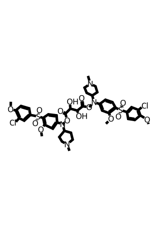 COc1ccc(S(=O)(=O)c2ccc(N(OC(=O)C(O)C(O)C(=O)ON(c3ccc(S(=O)(=O)c4ccc(OC)c(Cl)c4)c(OC)c3)C3CCN(C)CC3)C3CCN(C)CC3)cc2OC)cc1Cl